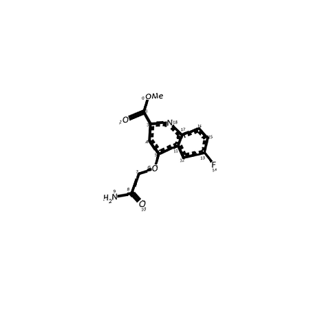 COC(=O)c1cc(OCC(N)=O)c2cc(F)ccc2n1